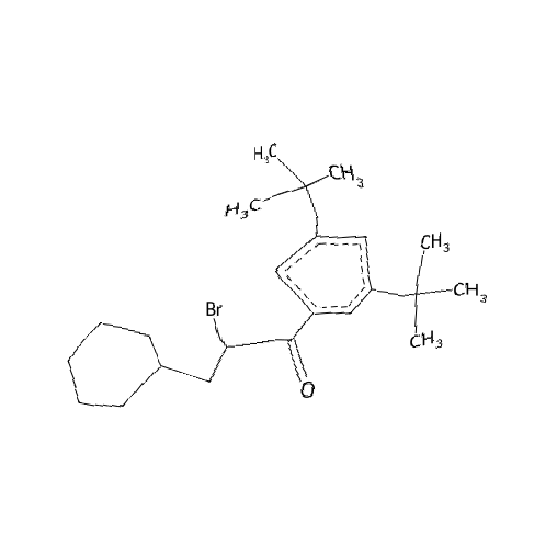 CC(C)(C)c1cc(C(=O)C(Br)CC2CCCCC2)cc(C(C)(C)C)c1